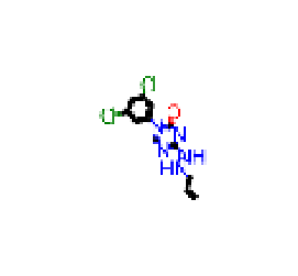 C=CCNNc1ncn(-c2cc(Cl)cc(Cl)c2)c(=O)n1